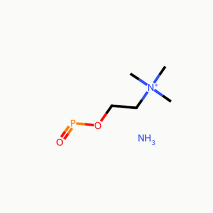 C[N+](C)(C)CCOP=O.N